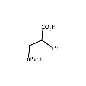 CCCCCCC(C(=O)O)C(C)C